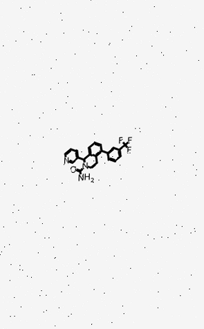 NC(=O)N1CCc2c(-c3cccc(C(F)(F)F)c3)cccc2C1c1cccnc1